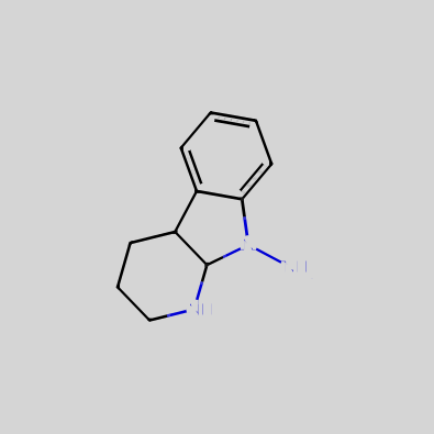 NN1c2ccccc2C2CCCNC21